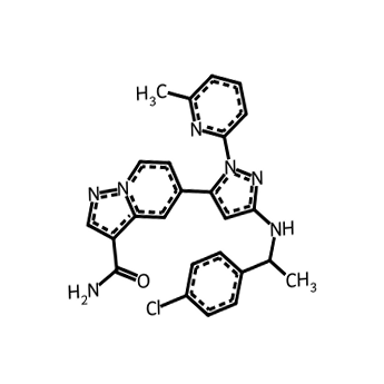 Cc1cccc(-n2nc(NC(C)c3ccc(Cl)cc3)cc2-c2ccn3ncc(C(N)=O)c3c2)n1